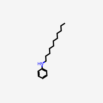 CCCCCCCCCCCNc1cc[c]cc1